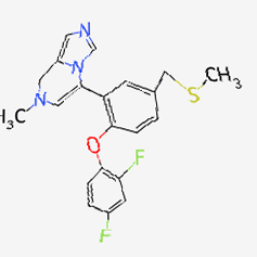 CSCc1ccc(Oc2ccc(F)cc2F)c(C2=CN(C)Cc3cncn32)c1